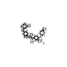 CCN1CCN(Cc2ccc(NC(=O)Nc3ccc(Oc4cc(Cl)ncn4)cc3)cc2C(F)(F)F)CC1